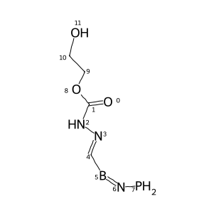 O=C(NN=C/B=N/P)OCCO